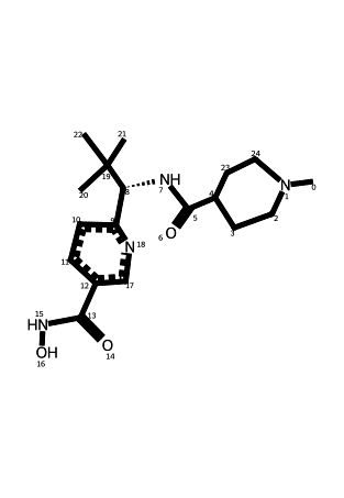 CN1CCC(C(=O)N[C@H](c2ccc(C(=O)NO)cn2)C(C)(C)C)CC1